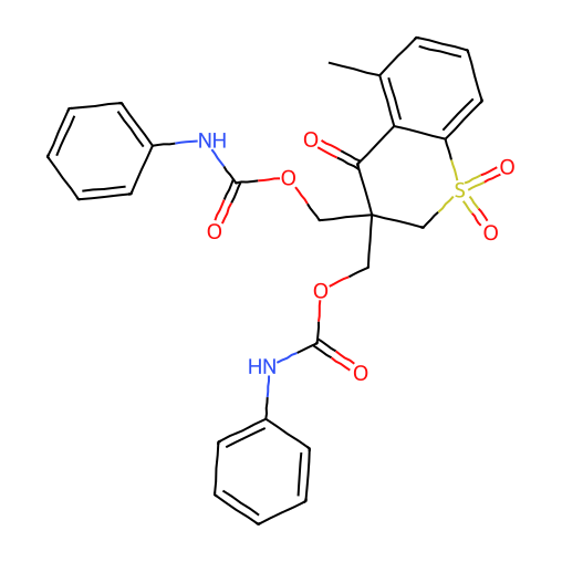 Cc1cccc2c1C(=O)C(COC(=O)Nc1ccccc1)(COC(=O)Nc1ccccc1)CS2(=O)=O